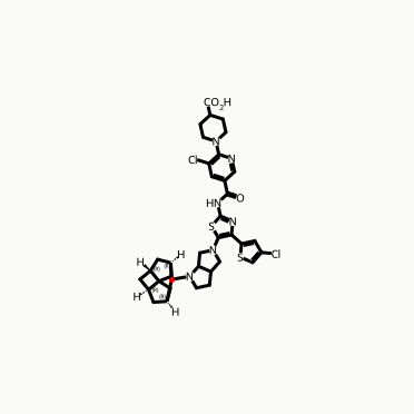 O=C(Nc1nc(-c2cc(Cl)cs2)c(N2CC3CCN(C4[C@@H]5C[C@H]6C[C@@H]7C[C@@H]4CC67C5)C3C2)s1)c1cnc(N2CCC(C(=O)O)CC2)c(Cl)c1